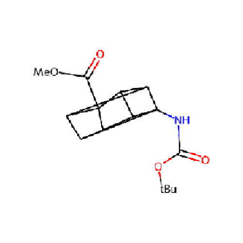 COC(=O)C12C3C4C1C1C2C3C41NC(=O)OC(C)(C)C